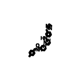 Cc1ccc(CNC(=O)[C@H]2CCCN(c3ccnc(Nc4cccc(Cn5nccn5)c4)n3)C2)cc1